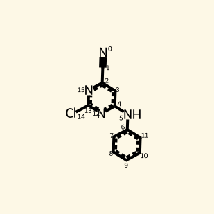 N#Cc1cc(Nc2ccccc2)nc(Cl)n1